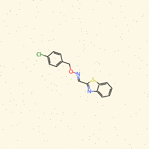 Clc1ccc(CO/N=C/c2nc3ccccc3s2)cc1